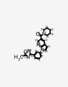 Cc1nc(-c2cccc(-n3ccc4cc(C(=O)N5CCCCC5)cnc43)c2)no1